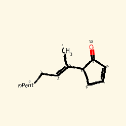 CCCCCCC=C(C)C1CC=CC1=O